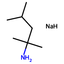 CC(C)CC(C)(C)N.[NaH]